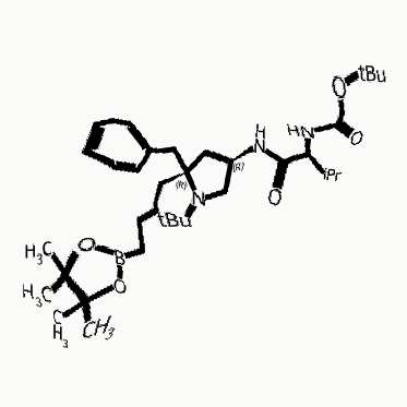 CC(C)C(NC(=O)OC(C)(C)C)C(=O)N[C@H]1CN(C(C)(C)C)[C@](CCCCB2OC(C)(C)C(C)(C)O2)(Cc2ccccc2)C1